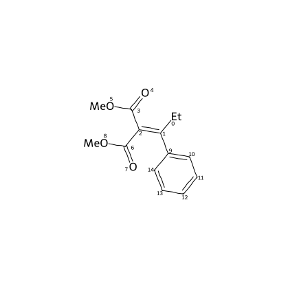 CCC(=C(C(=O)OC)C(=O)OC)c1ccccc1